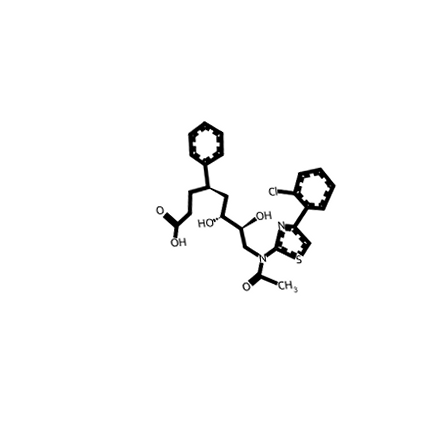 CC(=O)N(C[C@H](O)[C@H](O)C[C@@H](CCC(=O)O)c1ccccc1)c1nc(-c2ccccc2Cl)cs1